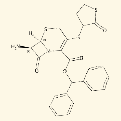 N[C@@H]1C(=O)N2C(C(=O)OC(c3ccccc3)c3ccccc3)=C(SC3CCSC3=O)CS[C@H]12